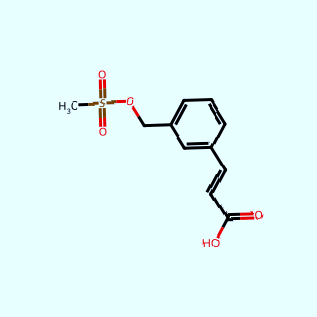 CS(=O)(=O)OCc1cccc(/C=C/C(=O)O)c1